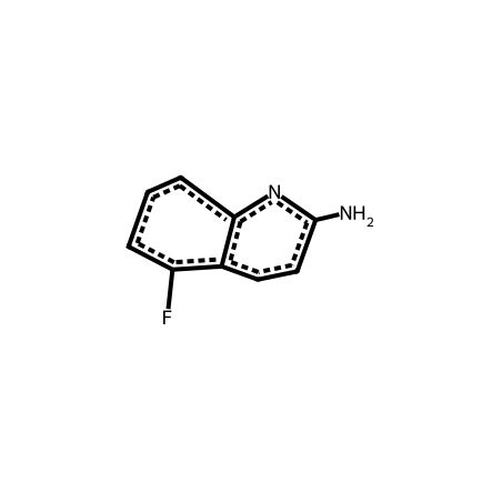 Nc1ccc2c(F)cccc2n1